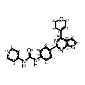 O=C(Nc1ccncc1)Nc1ccc(-c2nc(C3=CCOCC3)c3ccsc3n2)cc1